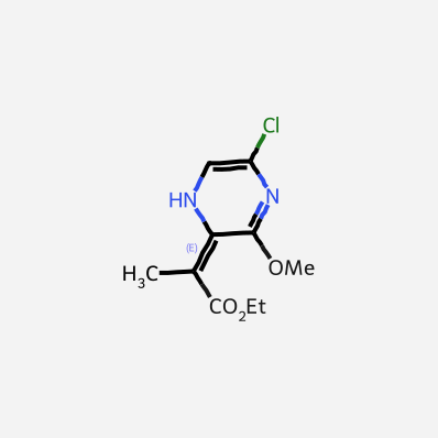 CCOC(=O)/C(C)=C1/NC=C(Cl)N=C1OC